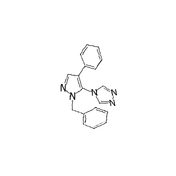 c1ccc(Cn2ncc(-c3ccccc3)c2-n2cnnc2)cc1